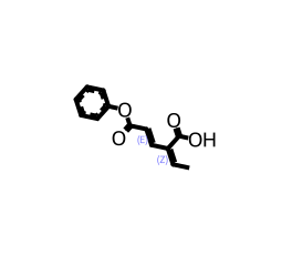 C/C=C(/C=C/C(=O)Oc1ccccc1)C(=O)O